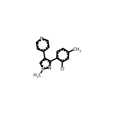 Cc1ccc(-c2nn(C)cc2-c2ccncc2)c(Cl)c1